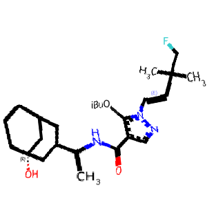 CC(C)COc1c(C(=O)NC(C)C2CC3CCC[C@@](O)(C3)C2)cnn1/C=C/C(C)(C)CF